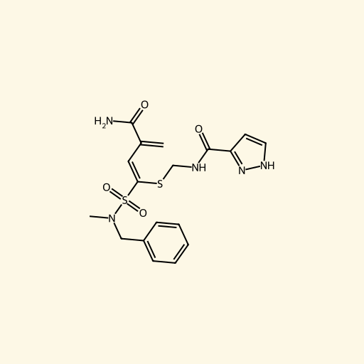 C=C(/C=C(\SCNC(=O)c1cc[nH]n1)S(=O)(=O)N(C)Cc1ccccc1)C(N)=O